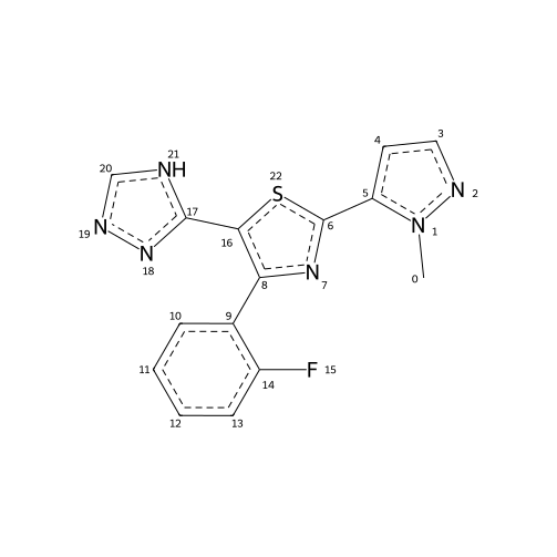 Cn1nccc1-c1nc(-c2ccccc2F)c(-c2nnc[nH]2)s1